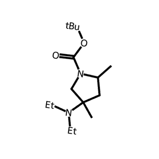 CCN(CC)C1(C)CC(C)N(C(=O)OC(C)(C)C)C1